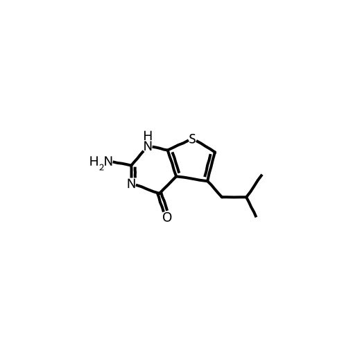 CC(C)Cc1csc2[nH]c(N)nc(=O)c12